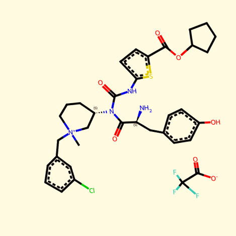 C[N+]1(Cc2cccc(Cl)c2)CCC[C@H](N(C(=O)Nc2ccc(C(=O)OC3CCCC3)s2)C(=O)[C@@H](N)Cc2ccc(O)cc2)C1.O=C([O-])C(F)(F)F